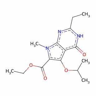 CCOC(=O)c1c(OC(C)C)c2c(=O)[nH]c(CC)nc2n1C